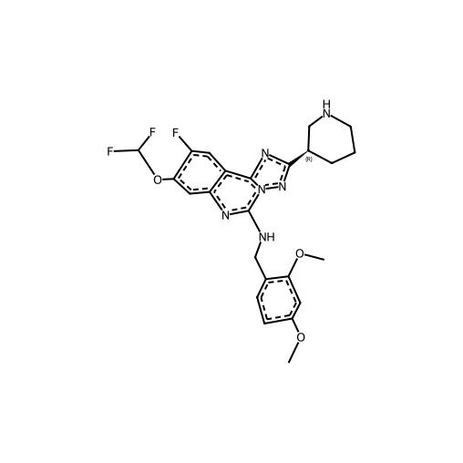 COc1ccc(CNc2nc3cc(OC(F)F)c(F)cc3c3nc([C@@H]4CCCNC4)nn23)c(OC)c1